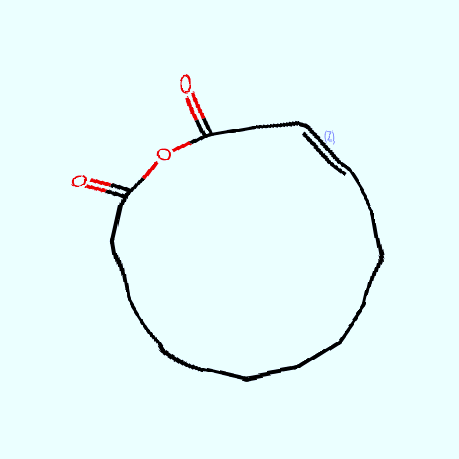 O=C1C/C=C\CCCCCCCCCCC(=O)O1